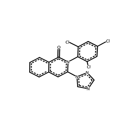 O=c1c2ccccc2cc(-n2cncn2)n1-c1c(Cl)cc(Cl)cc1Cl